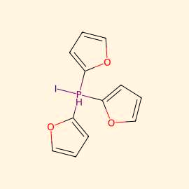 I[PH](c1ccco1)(c1ccco1)c1ccco1